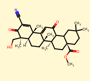 COC(=O)[C@]12CCC(C)(C)CC1C1C(=O)C=C3[C@@]4(C)C=C(C#N)C(=O)[C@](C)(CO)[C@@H]4CC[C@@]3(C)[C@]1(C)CC2